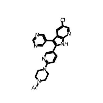 CC(=O)N1CCN(c2ccc(-c3[nH]c4ncc(Cl)cc4c3-c3cncnc3)cn2)CC1